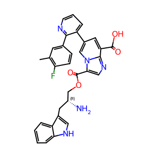 Cc1cc(-c2ncccc2-c2cc(C(=O)O)c3ncc(C(=O)OC[C@H](N)Cc4c[nH]c5ccccc45)n3c2)ccc1F